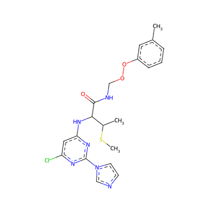 CSC(C)C(Nc1cc(Cl)nc(-n2ccnc2)n1)C(=O)NCOOc1cccc(C)c1